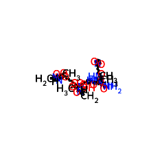 C=C1C[C@H]2C=Nc3cc(OCCCCCOc4cc5c(cc4OC)C(=O)N4CC(=C)C[C@H]4C(O)N5C(=O)OCc4ccc(NC(=O)[C@H](CCCNC(N)=O)NC(=O)[C@@H](NC(=O)CCCCCN5C(=O)C=CC5=O)C(C)C)cc4)c(OC)cc3C(=O)N2C1